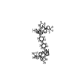 CC(C)(C)OC(=O)N1CCCC1c1nc(-c2ccc(-c3ccc(-c4noc(C5CCCN5C(=O)OC(C)(C)C)n4)cc3)cc2)c[nH]1